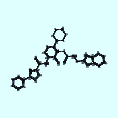 O=C(Cn1c(N2CCOCC2)cnc(NC(=O)c2coc(-c3ccccc3)n2)c1=O)NCc1cc2cnccc2[nH]1